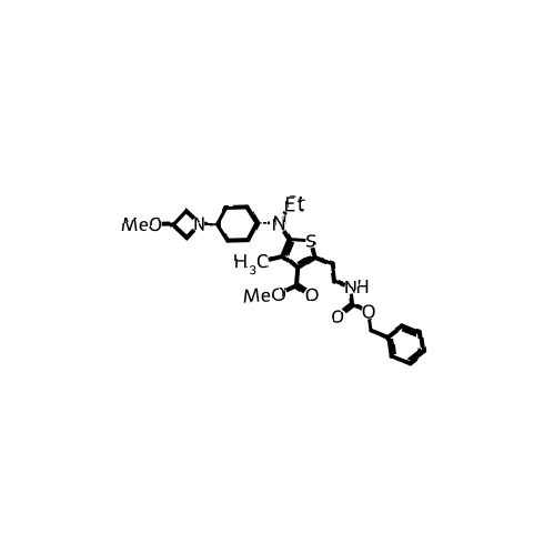 CCN(c1sc(CCNC(=O)OCc2ccccc2)c(C(=O)OC)c1C)[C@H]1CC[C@H](N2CC(OC)C2)CC1